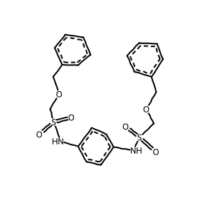 O=S(=O)(COCc1ccccc1)Nc1ccc(NS(=O)(=O)COCc2ccccc2)cc1